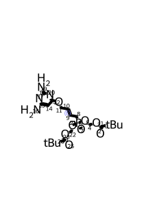 CC(C)(C)C(=O)OCOP(=O)(C/C=C/COc1cc(N)nc(N)n1)OCOC(=O)C(C)(C)C